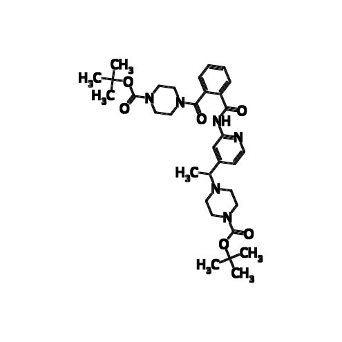 CC(c1ccnc(NC(=O)c2ccccc2C(=O)N2CCN(C(=O)OC(C)(C)C)CC2)c1)N1CCN(C(=O)OC(C)(C)C)CC1